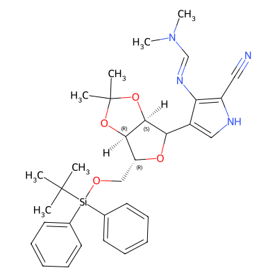 CN(C)C=Nc1c(C2O[C@H](CO[Si](c3ccccc3)(c3ccccc3)C(C)(C)C)[C@H]3OC(C)(C)O[C@@H]23)c[nH]c1C#N